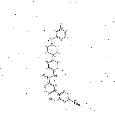 Cc1ccc(C(=O)Nc2ccc(N3CCN(Cc4cccc(F)c4)CC3)nc2)cc1-c1ccc(C#N)cc1